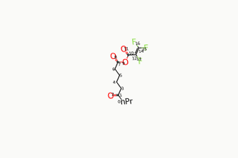 CCCC(=O)CCCCC(=O)OC(=O)C(F)=C(F)F